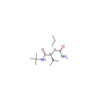 CCC[C@H](C(N)=O)[C@H](C(=O)NC(C)(C)C)C(C)C